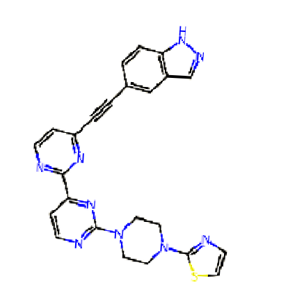 C(#Cc1ccnc(-c2ccnc(N3CCN(c4nccs4)CC3)n2)n1)c1ccc2[nH]ncc2c1